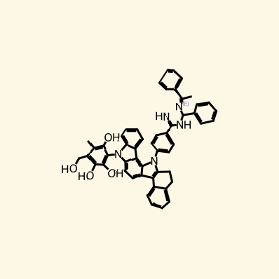 C/C(=N\C(NC(=N)c1ccc(-n2c3c(c4ccc5c(c6ccccc6n5-c5c(O)c(C)c(CO)c(O)c5O)c42)-c2ccccc2CC3)cc1)c1ccccc1)c1ccccc1